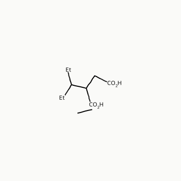 CC.CCC(CC)C(CC(=O)O)C(=O)O